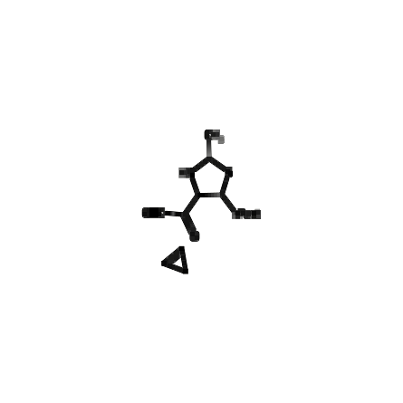 C1=CC1.CCCCCC1SC(C)NC1C(=O)C=O